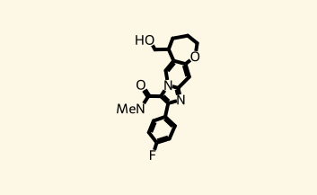 CNC(=O)c1c(-c2ccc(F)cc2)nc2cc3c(cn12)C(CO)CCCO3